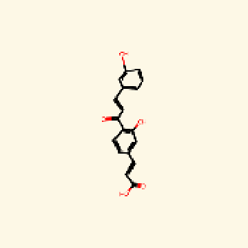 O=C(O)/C=C/c1ccc(C(=O)/C=C/c2cccc(O)c2)c(O)c1